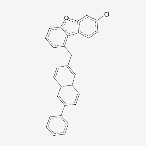 Clc1ccc2c(c1)oc1cccc(CC3=CC4C=CC(c5ccccc5)=CC4C=C3)c12